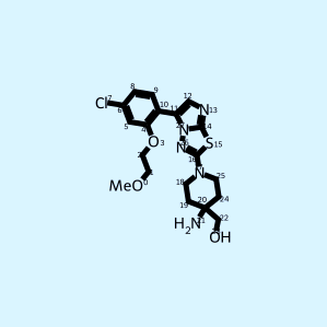 COCCOc1cc(Cl)ccc1-c1cnc2sc(N3CCC(N)(CO)CC3)nn12